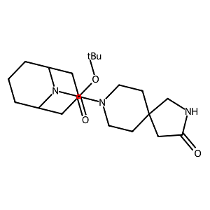 CC(C)(C)OC(=O)N1C2CCCC1CC(N1CCC3(CC1)CNC(=O)C3)C2